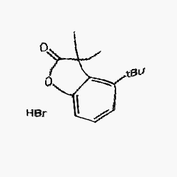 Br.CC(C)(C)c1cccc2c1C(C)(C)C(=O)O2